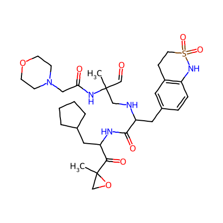 CC(C=O)(CNC(Cc1ccc2c(c1)CCS(=O)(=O)N2)C(=O)NC(CC1CCCC1)C(=O)C1(C)CO1)NC(=O)CN1CCOCC1